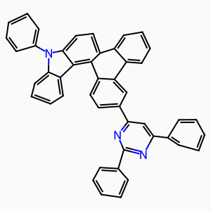 c1ccc(-c2cc(-c3ccc4c(c3)c3ccccc3c3ccc5c(c6ccccc6n5-c5ccccc5)c34)nc(-c3ccccc3)n2)cc1